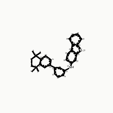 CC1(C)CCC(C)(C)c2cc(-c3cccc(Nc4ccc5c(c4)sc4ccccc45)c3)ccc21